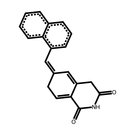 O=C1CC2=CC(=Cc3cccc4ccccc34)CC=C2C(=O)N1